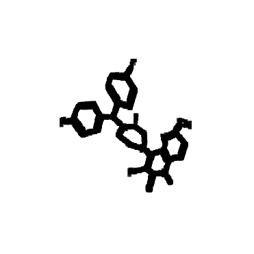 C[C@@H]1CN(c2c(F)c(=O)n(C)c3ccc(C#N)nc23)CCN1C(c1ccc(F)cc1)c1ccc(F)cc1